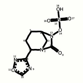 O=C1N2CC(CCC2c2ncon2)N1OS(=O)(=O)O